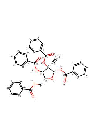 C#C[C@]1(OC(=O)c2ccccc2)[C@H](OC(=O)c2ccccc2)O[C@H](COC(=O)c2ccccc2)[C@H]1OC(=O)c1ccccc1